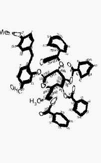 COc1ccc(Cc2ccc(C=O)cc2O[C@@H]2O[C@H]([C@@H](C)OC(=O)c3ccccc3)[C@@H](OC(=O)c3ccccc3)[C@H](OC(=O)c3ccccc3)[C@H]2OC(=O)c2ccccc2)cc1